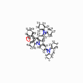 c1ccc2c(c1)Cc1ccccc1N2c1ccc2c(c1)c1cc(N3c4ccccc4Cc4ccccc43)cc3c1n2-c1cccc2c1B3c1ccccc1O2